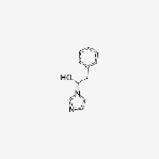 OC(Cc1ccccc1)n1ccnc1